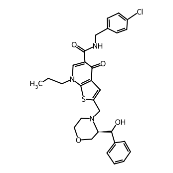 CCCn1cc(C(=O)NCc2ccc(Cl)cc2)c(=O)c2cc(CN3CCOC[C@@H]3C(O)c3ccccc3)sc21